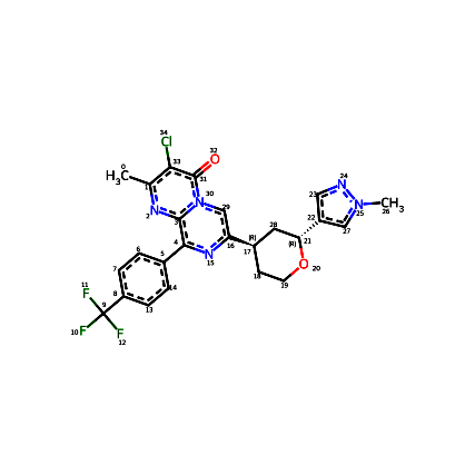 Cc1nc2c(-c3ccc(C(F)(F)F)cc3)nc([C@@H]3CCO[C@@H](c4cnn(C)c4)C3)cn2c(=O)c1Cl